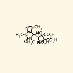 Cn1c(=O)c2c(ncn2C)n(C)c1=O.O=C(O)CC(O)(C(=O)O)C(O)C(=O)O